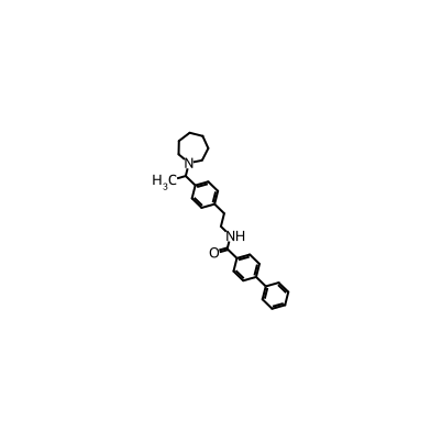 CC(c1ccc(CCNC(=O)c2ccc(-c3ccccc3)cc2)cc1)N1CCCCCC1